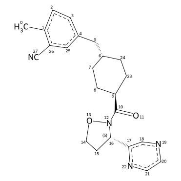 Cc1ccc(C[C@H]2CC[C@H](C(=O)N3OCC[C@H]3c3cnccn3)CC2)cc1C#N